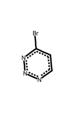 Brc1ccnnn1